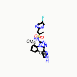 COc1cccc(OC)c1-n1c(NS(=O)(=O)C(C)Cc2ncc(F)cn2)nnc1-c1cc[nH]n1